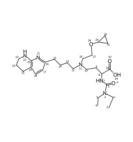 CCN(CC)C(=O)NC(CCN(CCCCc1ccc2c(n1)NCCC2)CCOC1CC1)C(=O)O